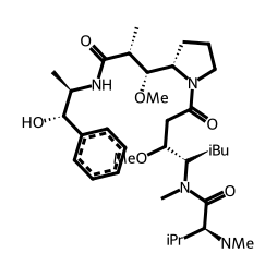 CC[C@H](C)[C@@H](C(CC(=O)N1CCC[C@H]1[C@H](OC)[C@@H](C)C(=O)N[C@H](C)[C@@H](O)c1ccccc1)OC)N(C)C(=O)[C@@H](NC)C(C)C